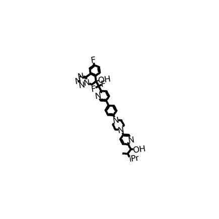 CC(C)C(C)C(O)c1ccc(N2CCN(c3ccc(-c4ccc(C(F)(F)[C@]5(O)Cn6nnnc6-c6cc(F)ccc65)nc4)cc3)CC2)cn1